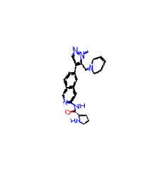 Cn1ncc(-c2ccc3cnc(NC(=O)[C@H]4CCCN4)cc3c2)c1CN1CCCCC1